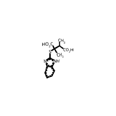 CC(C(=O)O)C(C)(Sc1nc2ccccc2[nH]1)C(=O)O